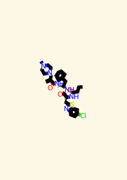 C=C(CN1CCN(C)CC1)C(=O)NC[C@H](Cc1ccccc1)NC(=O)[C@H](Cc1nc2ccc(Cl)cc2s1)NC(=O)CCC